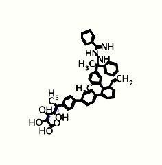 C=Cc1cccc(-c2ccc(-c3ccc(/C(C)=C(O)/C(O)=C(/O)C(=O)O)cc3)cc2)c1-c1cc(C(C)(NNC(=N)c2ccccc2)c2ccccc2)ccc1C